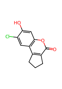 O=c1oc2cc(O)c(Cl)cc2c2c1CCC2